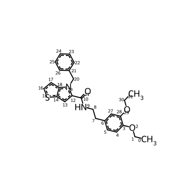 CCOc1ccc(CCNC(=O)c2cc3sccc3n2Cc2ccccc2)cc1OCC